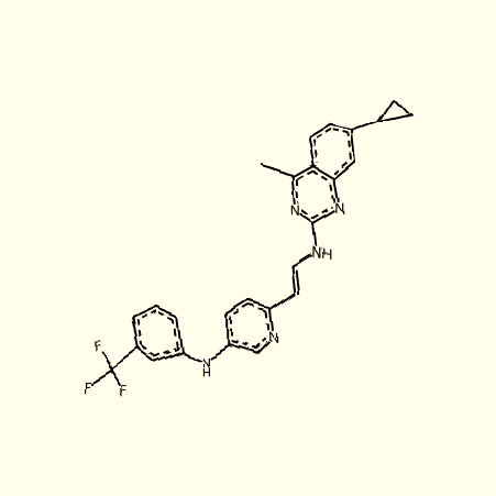 Cc1nc(N/C=C/c2ccc(Nc3cccc(C(F)(F)F)c3)cn2)nc2cc(C3CC3)ccc12